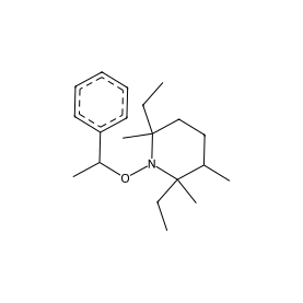 CCC1(C)CCC(C)C(C)(CC)N1OC(C)c1ccccc1